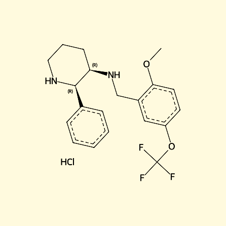 COc1ccc(OC(F)(F)F)cc1CN[C@@H]1CCCN[C@@H]1c1ccccc1.Cl